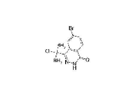 BC(B)(Cl)c1n[nH]c(=O)c2ccc(Br)cc12